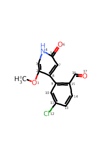 COc1c[nH]c(=O)cc1-c1cc(Cl)ccc1C=O